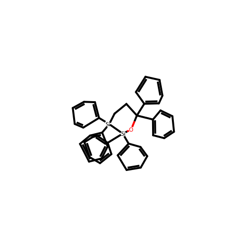 c1ccc(C2(c3ccccc3)CC[Si](c3ccccc3)(c3ccccc3)[Si](c3ccccc3)(c3ccccc3)O2)cc1